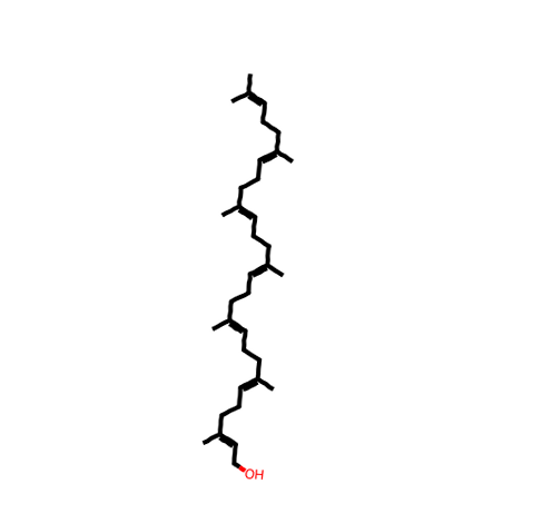 CC(C)=CCCC(C)=CCCC(C)=CCCC(C)=CCCC(C)=CCCC(C)=CCCC(C)=CCO